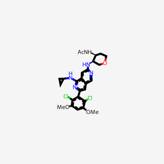 COc1cc(OC)c(Cl)c(-c2cc3cnc(N[C@@H]4COCC[C@@H]4NC(C)=O)cc3c(NC3CC3)n2)c1Cl